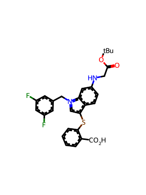 CC(C)(C)OC(=O)CNc1ccc2c(Sc3ccccc3C(=O)O)cn(Cc3cc(F)cc(F)c3)c2c1